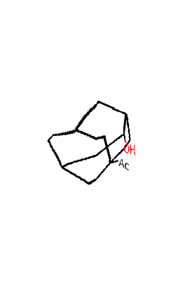 CC(=O)C12CC3CC(C1)C(O)C(C3)C2